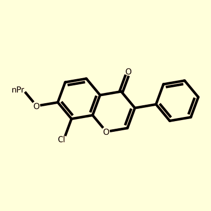 CCCOc1ccc2c(=O)c(-c3ccccc3)coc2c1Cl